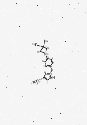 O=C(O)c1c[nH]c(Cc2ccc(N3CC(F)(F)C3)cn2)c1